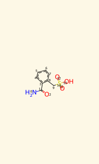 NC(=O)c1ccccc1CS(=O)(=O)O